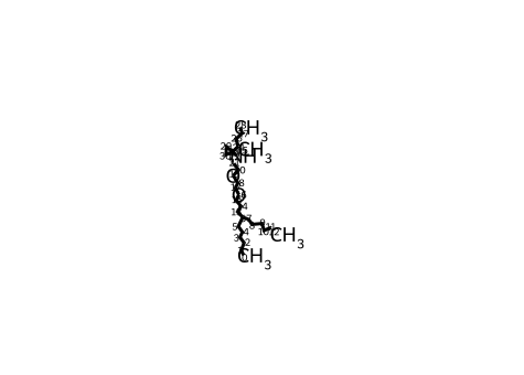 CCCCCCC(CCCCCC)CCCOCCOCCNC1(C(C)CCC)CC1